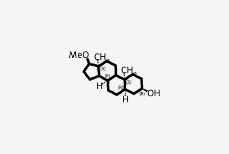 COC1CCC2[C@@H]3CC[C@@H]4C[C@H](O)CC[C@]4(C)C3CC[C@]12C